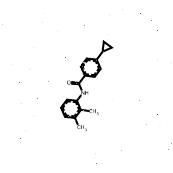 Cc1cccc(NC(=O)c2ccc(C3CC3)cc2)c1C